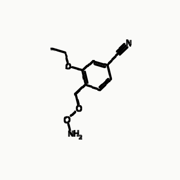 CCOc1cc(C#N)ccc1COON